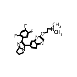 CN(C)CCOc1cnc2ccc(-c3c(-c4cc(F)c(F)cc4F)nc4n3CCC4)cc2n1